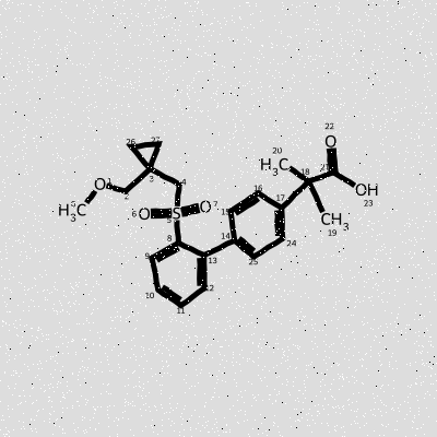 COCC1(CS(=O)(=O)c2ccccc2-c2ccc(C(C)(C)C(=O)O)cc2)CC1